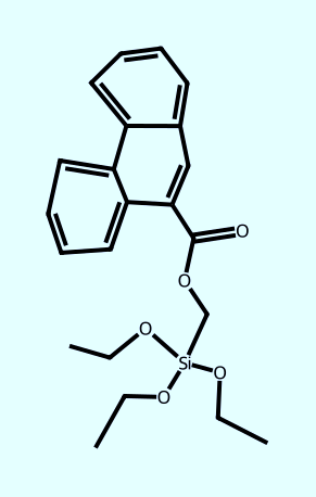 CCO[Si](COC(=O)c1cc2ccccc2c2ccccc12)(OCC)OCC